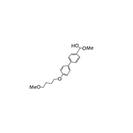 COCCCCOc1ccc(-c2ccc(C(O)OC)cc2)cc1